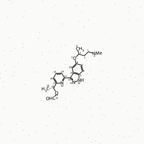 CNCCC(C)Oc1ccc2[nH]nc(-c3cccc([C@@H](C)OC=O)n3)c2c1